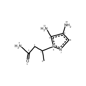 CC(CC(N)=O)n1ncc(N)c1N